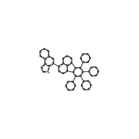 c1ccc(-c2c(-c3ccccc3)c(-c3ccccc3)c3c(c2-c2ccccc2)-c2cccc4c(-c5cc6ccccc6c6ccsc56)ccc-3c24)cc1